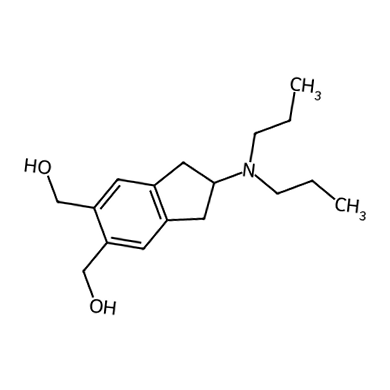 CCCN(CCC)C1Cc2cc(CO)c(CO)cc2C1